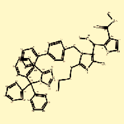 CCCCc1nc(Cl)c(C(OC)c2occc2C(=O)OC)n1Cc1ccc(-c2ccccc2-c2nnnn2C(c2ccccc2)(c2ccccc2)c2ccccc2)cc1